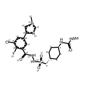 CNC(=O)N[C@H]1CC[C@H](CS(=O)(=O)NNC(=O)c2cc(-c3cn(C)cn3)cc(Cl)c2F)CC1